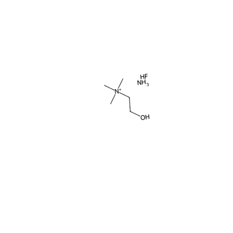 C[N+](C)(C)CCO.F.N